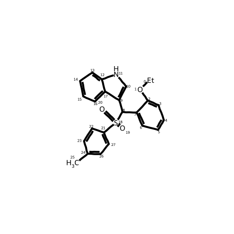 CCOc1ccccc1C(c1c[nH]c2ccccc12)S(=O)(=O)c1ccc(C)cc1